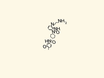 COc1cc(NC(=O)[C@H]2CC[C@@H](n3c(=O)[nH]c4c(N(C)CCCN)cccc43)CC2)ccc1C